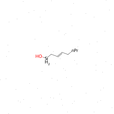 CCCCC=CC[SiH2]O